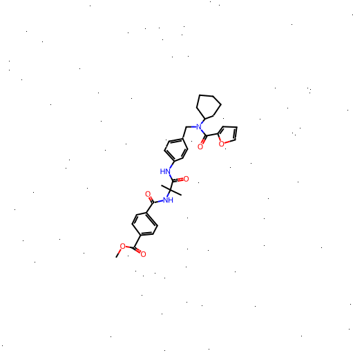 COC(=O)c1ccc(C(=O)NC(C)(C)C(=O)Nc2ccc(CN(C(=O)c3ccco3)C3CCCCC3)cc2)cc1